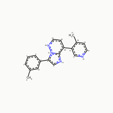 Cc1cccc(-c2cnc3c(-c4cnccc4C)ccnn23)c1